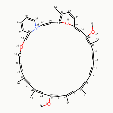 COC1=CC(C)=CC(C)=CC=CC=CC(C)=C(OC)C=C2C=CC(C)=C(C=CN3C=CC=CC3=COCC=CC(C)=CC(C)=C1)O2